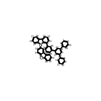 c1ccc(-c2cc(-c3ccccc3)cc(-c3cccc(-c4cccc5c6ccccc6n(-c6ccc7oc8ccccc8c7c6)c45)c3)c2)cc1